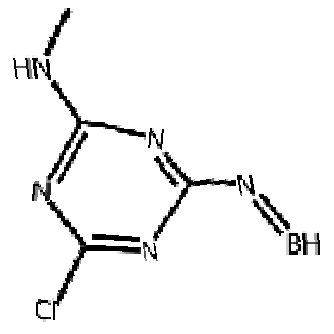 B=Nc1nc(Cl)nc(NC)n1